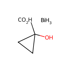 O=C(O)C1(O)CC1.[BiH3]